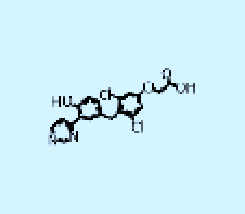 O=C(O)COc1cc(Cl)c(Cc2ccc(O)c(-c3ccncn3)c2)c(Cl)c1